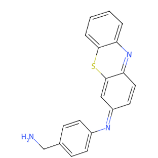 NCc1ccc(N=c2ccc3nc4ccccc4sc-3c2)cc1